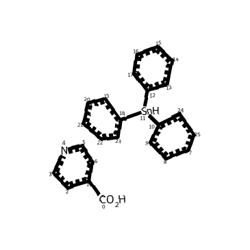 O=C(O)c1ccncc1.c1cc[c]([SnH]([c]2ccccc2)[c]2ccccc2)cc1